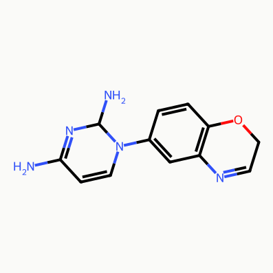 NC1=NC(N)N(c2ccc3c(c2)N=CCO3)C=C1